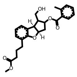 COC(=O)CCCc1cccc2c1O[C@@H]1CC(OC(=O)c3ccccc3C)C(CO)[C@H]21